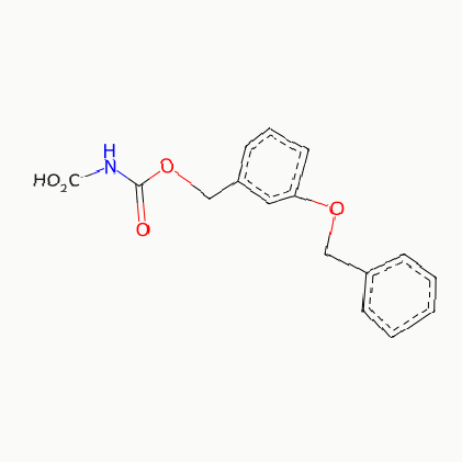 O=C(O)NC(=O)OCc1cccc(OCc2ccccc2)c1